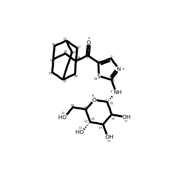 O=C(c1cnc(N[C@H]2OC(CO)[C@@H](O)C(O)C2O)s1)C12CC3CC(CC(C3)C1)C2